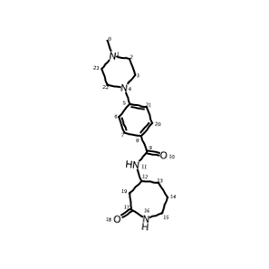 CN1CCN(c2ccc(C(=O)NC3CCCNC(=O)C3)cc2)CC1